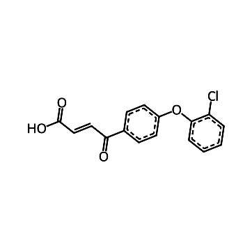 O=C(O)/C=C/C(=O)c1ccc(Oc2ccccc2Cl)cc1